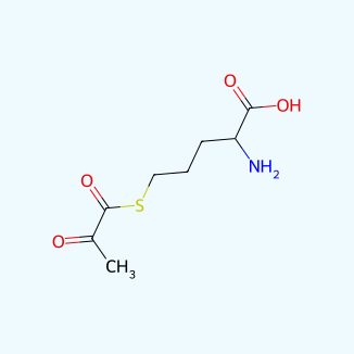 CC(=O)C(=O)SCCCC(N)C(=O)O